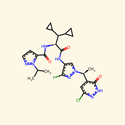 CC(C)n1nccc1C(=O)N[C@H](C(=O)Nc1cn([C@@H](C)c2cc(Cl)n[nH]c2=O)nc1F)C(C1CC1)C1CC1